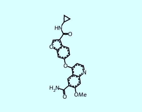 COc1cc2nccc(Oc3ccc4c(C(=O)NC5CC5)coc4c3)c2cc1C(N)=O